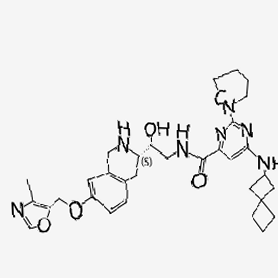 Cc1ncoc1COc1ccc2c(c1)CN[C@H](C(O)CNC(=O)c1cc(NC3CC4(CCC4)C3)nc(N3CCCCC3)n1)C2